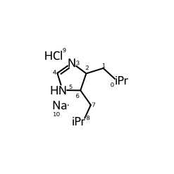 CC(C)CC1N=CNC1CC(C)C.Cl.[Na]